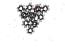 c1ccc2c(c1)N1B(N3B(N4B1N(c1ccccc1-n1c5ccccc5c5ccccc51)c1ccccc14)N(c1ccccc1-n1c4ccccc4c4ccccc41)c1ccccc13)N2c1ccccc1-n1c2ccccc2c2ccccc21